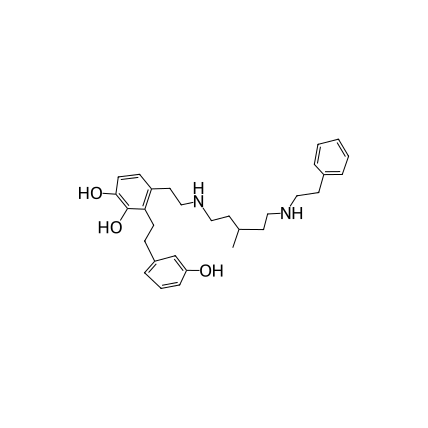 CC(CCNCCc1ccccc1)CCNCCc1ccc(O)c(O)c1CCc1cccc(O)c1